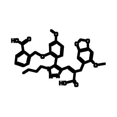 CCCCn1nnc(C=C(Cc2cc3c(cc2OC)OCO3)C(=O)O)c1-c1ccc(OC)cc1OCc1ccccc1C(=O)O